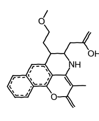 C=C(O)CC1NC2=C(C)C(=C)Oc3c2c(cc2ccccc32)C1CCOC